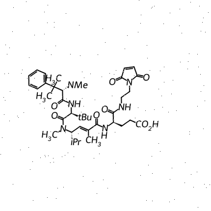 CN[C@H](C(=O)N[C@H](C(=O)N(C)[C@H](/C=C(\C)C(=O)N[C@H](CCC(=O)O)C(=O)NCCN1C(=O)C=CC1=O)C(C)C)C(C)(C)C)C(C)(C)c1ccccc1